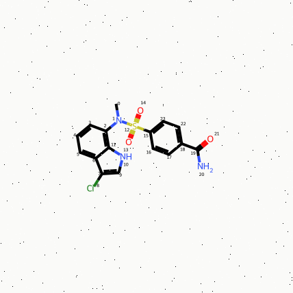 CN(c1cccc2c(Cl)c[nH]c12)S(=O)(=O)c1ccc(C(N)=O)cc1